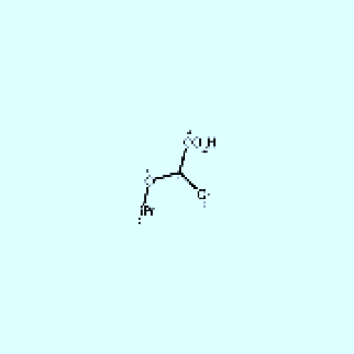 CC(C)OC([O])C(=O)O